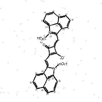 CCCCCCCCn1/c(=C\C2=C([O-])C(=C/C3=[N+](CCCCCCCC)c4cccc5cccc3c45)/C2=O)c2cccc3cccc1c32